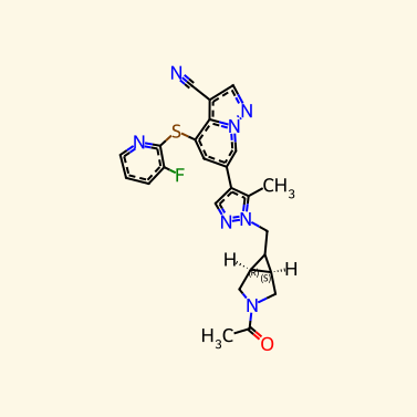 CC(=O)N1C[C@@H]2C(Cn3ncc(-c4cc(Sc5ncccc5F)c5c(C#N)cnn5c4)c3C)[C@@H]2C1